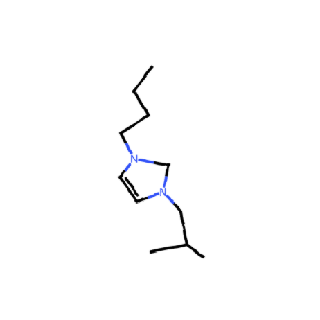 CCCCN1C=CN(CC(C)C)C1